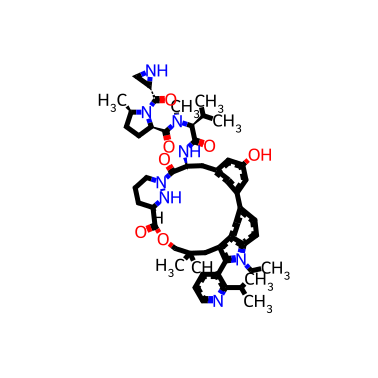 CCn1c(-c2cccnc2C(C)C)c2c3cc(ccc31)-c1cc(O)cc(c1)C[C@H](NC(=O)[C@H](C(C)C)N(C)C(=O)[C@H]1CC[C@@H](C)N1C(=O)[C@@H]1CN1)C(=O)N1CCC[C@H](N1)C(=O)OCC(C)(C)C2